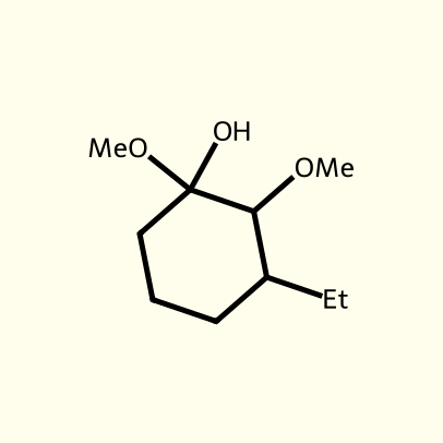 CCC1CCCC(O)(OC)C1OC